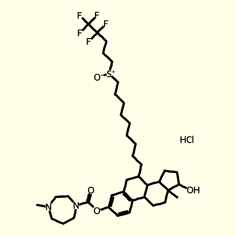 CN1CCCN(C(=O)Oc2ccc3c(c2)CC(CCCCCCCCC[S+]([O-])CCCC(F)(F)C(F)(F)F)C2C3CCC3(C)C(O)CCC23)CC1.Cl